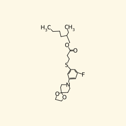 CCCCC(CC)COC(=O)CCSc1cc(F)cc(N2CCC3(CC2)OCCO3)c1